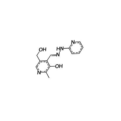 Cc1ncc(CO)c(C=NNc2ccccn2)c1O